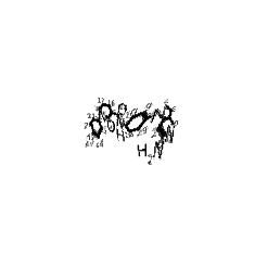 Nc1cc2c(ccn2-c2ccc(NC(=O)c3cccn(-c4ccccc4)c3=O)cc2)cn1